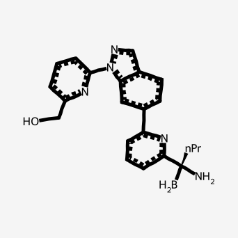 B[C@](N)(CCC)c1cccc(-c2ccc3cnn(-c4cccc(CO)n4)c3c2)n1